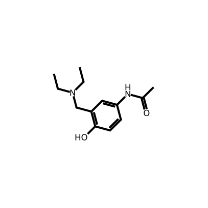 CCN(CC)Cc1cc(NC(C)=O)ccc1O